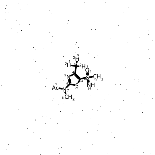 [2H]C([2H])([2H])c1nc(N(C)C(C)=O)sc1S(C)(=N)=O